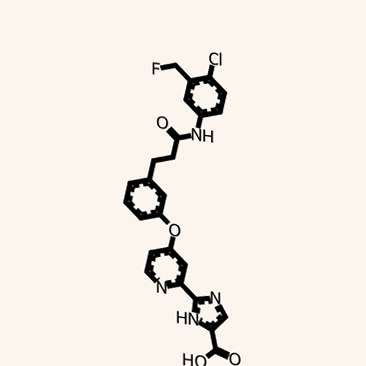 O=C(CCc1cccc(Oc2ccnc(-c3ncc(C(=O)O)[nH]3)c2)c1)Nc1ccc(Cl)c(CF)c1